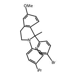 COc1ccc2c(c1)CCN(c1ccc(C(C)C)cc1)C2(C)c1ccc(Br)cn1